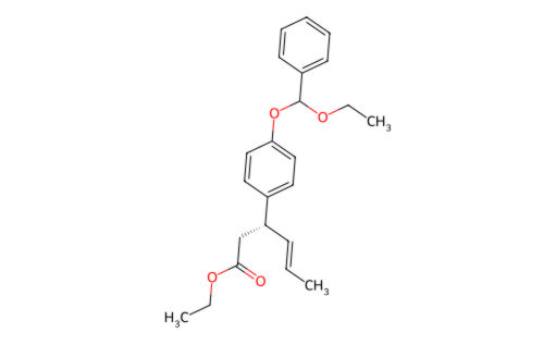 CC=C[C@H](CC(=O)OCC)c1ccc(OC(OCC)c2ccccc2)cc1